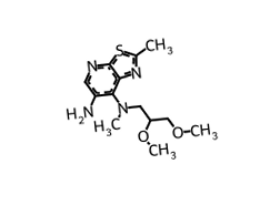 COCC(CN(C)c1c(N)cnc2sc(C)nc12)OC